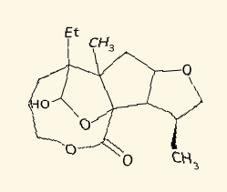 CCC12CCCOC(=O)C3(OC1O)C1C(CC23C)OC[C@H]1C